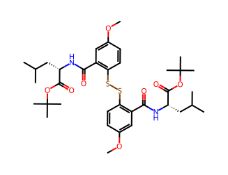 COc1ccc(SSc2ccc(OC)cc2C(=O)N[C@@H](CC(C)C)C(=O)OC(C)(C)C)c(C(=O)N[C@@H](CC(C)C)C(=O)OC(C)(C)C)c1